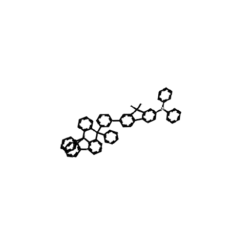 CC1(C)c2cc(-c3cccc(C4(c5ccccc5)c5ccccc5C5(c6ccccc6)c6ccccc6-c6cccc4c65)c3)ccc2-c2ccc(N(c3ccccc3)c3ccccc3)cc21